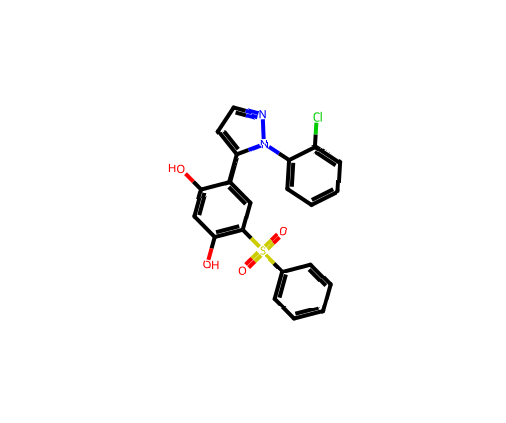 O=S(=O)(c1ccccc1)c1cc(-c2ccnn2-c2ccccc2Cl)c(O)cc1O